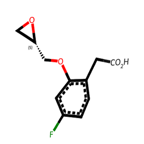 O=C(O)Cc1ccc(F)cc1OC[C@@H]1CO1